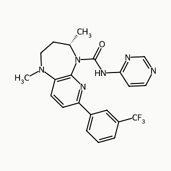 C[C@H]1CCN(C)c2ccc(-c3cccc(C(F)(F)F)c3)nc2N1C(=O)Nc1ccncn1